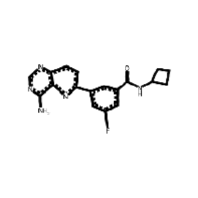 Nc1ncnc2ccc(-c3cc(F)cc(C(=O)NC4CCC4)c3)nc12